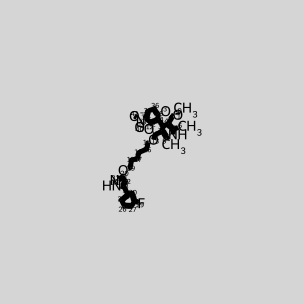 COC(=O)C1=C(C)NC(C)=C(C(=O)OCCCCCCOc2cc(-c3cccc(F)c3)[nH]n2)C1c1cccc([N+](=O)[O-])c1